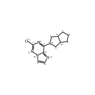 Clc1nc(N2CC3CCCC3C2)c2nccn2n1